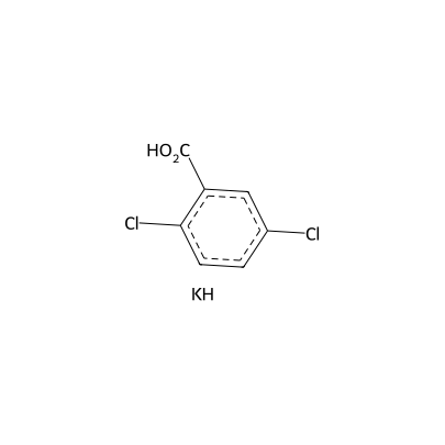 O=C(O)c1cc(Cl)ccc1Cl.[KH]